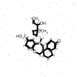 C=CC(O)[C@]1(C)CC[C@H]1CN1CC2(CCCc3cc(Cl)ccc32)COc2ccc(C(=O)O)cc21